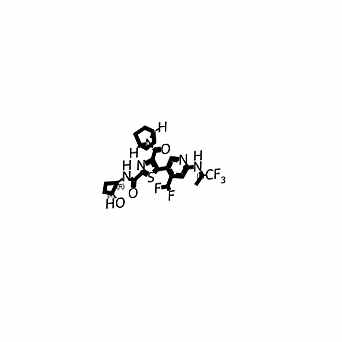 C[C@H](Nc1cc(C(F)F)c(-c2sc(C(=O)N[C@@H]3CC[C@H]3O)nc2C(=O)N2[C@H]3CC[C@H]2CC3)cn1)C(F)(F)F